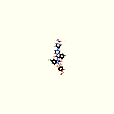 COc1ccc(S(=O)(=O)n2c(=O)n(C(C(=O)N3CCN(C4CCN(C(=O)O)CC4)CC3)c3ccccc3)c3cc(Cl)ccc32)cc1